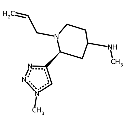 C=CCN1CCC(NC)C[C@H]1c1cn(C)nn1